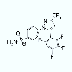 NS(=O)(=O)c1ccc(-n2nc(C(F)(F)F)cc2-c2c(F)cc(F)c(F)c2F)cc1